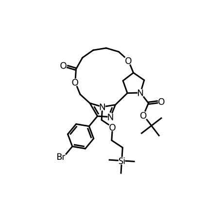 CC(C)(C)OC(=O)N1CC2CC1c1nc(-c3ccc(Br)cc3)c(n1COCC[Si](C)(C)C)COC(=O)CCCCO2